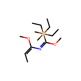 C/C=C(\N=C(\OC)S(C)(C)(CC)(CC)CC)OC